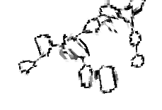 c1ccc(-c2ccc(-n3c4ccccc4c4ccc5c6ccc(-c7nc(-c8cccc(-c9ccccc9)c8)nc(-c8cccc(-c9ccccc9)c8)n7)cc6oc5c43)cc2)cc1